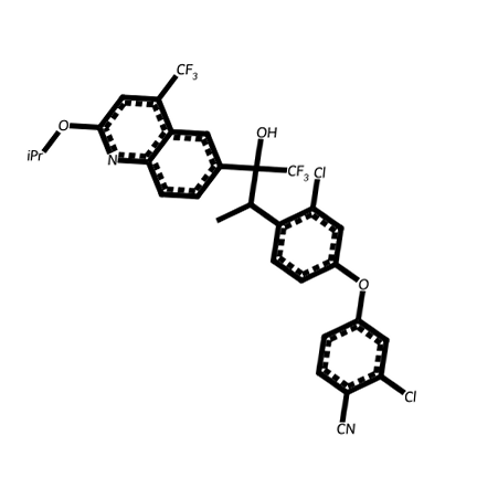 CC(C)Oc1cc(C(F)(F)F)c2cc(C(O)(C(C)c3ccc(Oc4ccc(C#N)c(Cl)c4)cc3Cl)C(F)(F)F)ccc2n1